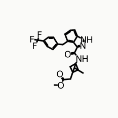 COC(=O)CC12CC(NC(=O)c3n[nH]c4cccc(Cc5ccc(C(F)(F)F)cc5)c34)(C1)C2C